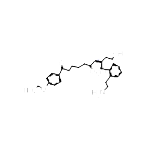 CCC/C(=C/C(=O)CCCCC(=O)c1ccc(OCC)cc1)[C@H](O)c1ccccc1CCN